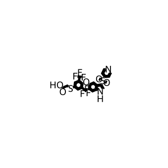 O=C(O)CSc1cc(C(F)(F)F)c(Oc2ccc3[nH]cc(S(=O)(=O)c4ccncc4)c3c2)c(C(F)(F)F)c1